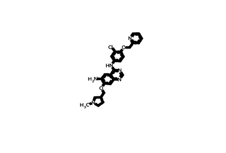 CN1CCC(COc2cc3ncnc(Nc4ccc(OCc5ccccn5)c(Cl)c4)c3cc2N)C1